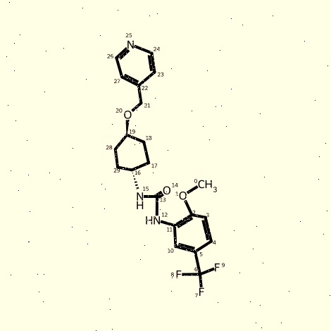 COc1ccc(C(F)(F)F)cc1NC(=O)N[C@H]1CC[C@H](OCc2ccncc2)CC1